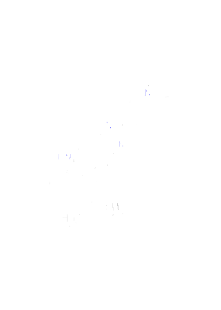 C=CCC1(CC=C)C(=O)Nc2cc3[nH]c(-c4cccnc4)nc3cc21